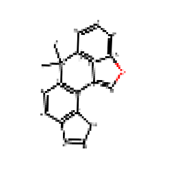 CC1(C)c2ccc3c(c2-c2coc4cccc1c24)CC=C3